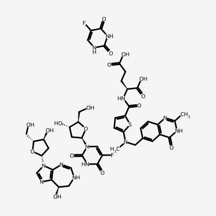 Cc1nc2ccc(CN(C)c3ccc(C(=O)N[C@@H](CCC(=O)O)C(=O)O)s3)cc2c(=O)[nH]1.O=c1[nH]c(=O)n([C@H]2C[C@H](O)[C@@H](CO)O2)cc1F.O=c1[nH]cc(F)c(=O)[nH]1.OC[C@H]1O[C@@H](n2cnc3c2N=CNC[C@H]3O)C[C@@H]1O